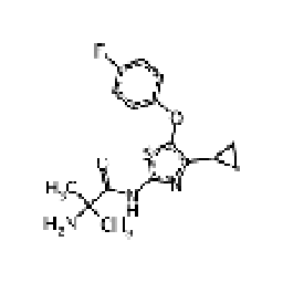 CC(C)(N)C(=O)Nc1nc(C2CC2)c(Oc2ccc(F)cc2)s1